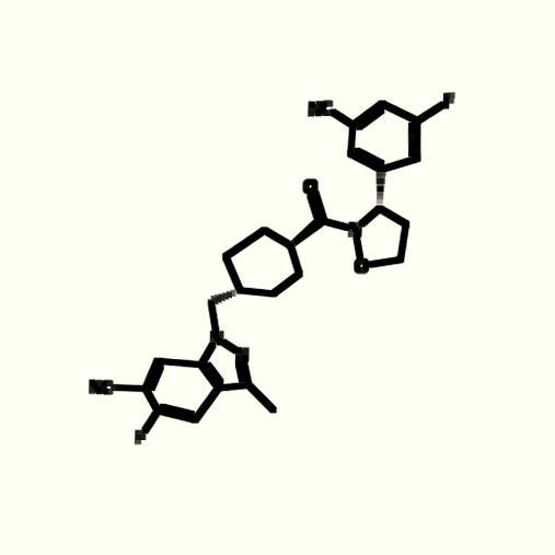 Cc1nn(C[C@H]2CC[C@H](C(=O)N3OCC[C@H]3c3cc(F)cc(C#N)c3)CC2)c2cc(C#N)c(F)cc12